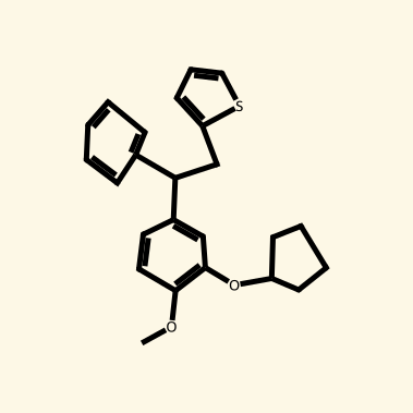 COc1ccc(C(Cc2cccs2)c2ccccc2)cc1OC1CCCC1